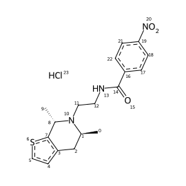 C[C@H]1Cc2ccsc2[C@H](C)N1CCNC(=O)c1ccc([N+](=O)[O-])cc1.Cl